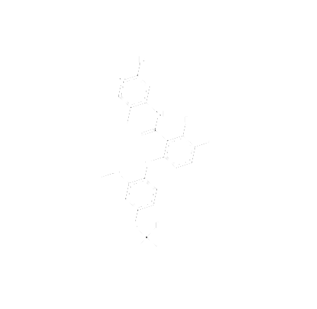 COc1cc(OC(F)(F)F)ccc1Oc1ccc(Cl)c(F)c1C(=O)Nc1cc(Br)ncc1C